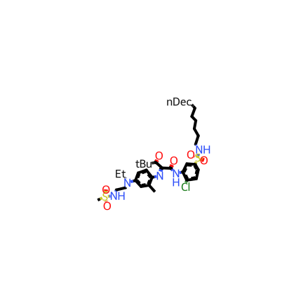 CCCCCCCCCCCCCCCCNS(=O)(=O)c1ccc(Cl)c(NC(=O)C(=Nc2ccc(N(CC)CCNS(C)(=O)=O)cc2C)C(=O)C(C)(C)C)c1